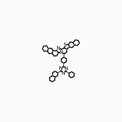 c1ccc(-c2nc(-c3ccc(-c4cc5c6cc7ccccc7cc6sc5c5nc6c7cc8ccccc8cc7ccc6n45)cc3)nc(-c3ccc4ccccc4c3)n2)cc1